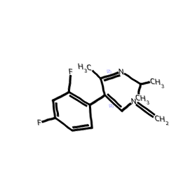 C=N/C=C(\C(C)=N/C(C)C)c1ccc(F)cc1F